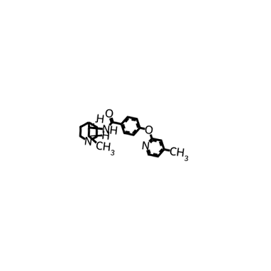 Cc1ccnc(Oc2ccc(C(=O)N[C@@H]3C4CCN(CC4)[C@H]3C)cc2)c1